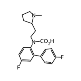 CN1CCCC1CCN(C(=O)O)c1ccc(F)cc1-c1ccc(F)cc1